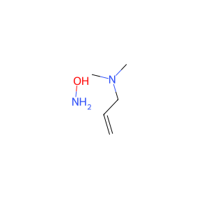 C=CCN(C)C.NO